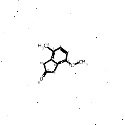 COc1ccc(C)c2c1CC(=O)C2